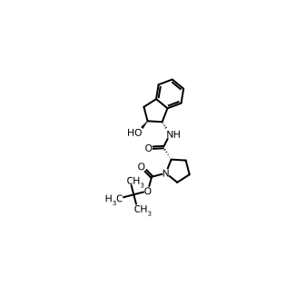 CC(C)(C)OC(=O)N1CCC[C@H]1C(=O)N[C@H]1c2ccccc2C[C@@H]1O